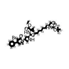 CCOC(=O)[C@@]1(NC(=O)[C@@H]2C[C@@H](n3ncc(-c4ccccc4)c(Br)c3=O)CN2)C[C@H]1/C=C\CCCCC[C@@H](C=O)NC(=O)OC(C)(C)C